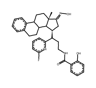 C[C@]12CCC3c4ccccc4CCC3C1[C@H](C(CCNC(=O)c1ccccc1O)c1cccc(F)n1)C/C2=N\O